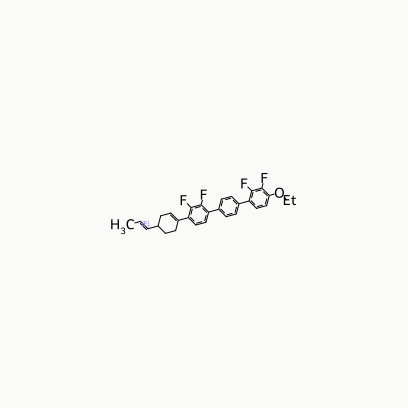 C/C=C/C1CC=C(c2ccc(-c3ccc(-c4ccc(OCC)c(F)c4F)cc3)c(F)c2F)CC1